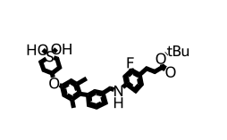 Cc1cc(OC2CCS(O)(O)CC2)cc(C)c1-c1cccc(CNc2ccc(CCC(=O)OC(C)(C)C)c(F)c2)c1